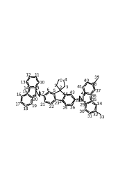 CCC1(CC)c2cc(-n3c4ccccc4c4ccccc43)ccc2-c2ccc(-n3c4ccc(C)cc4c4cc(C)ccc43)cc21